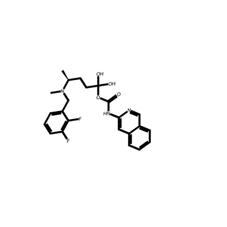 C[C@@H](CCC(O)(O)OC(=O)Nc1cc2ccccc2cn1)N(C)Cc1cccc(F)c1F